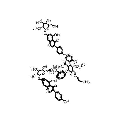 CCOC(=O)C1=C(COCCN)NC(C)=C(C(=O)OC)C1c1ccccc1Cl.O=S(=O)(O)c1ccccc1.O=c1c(-c2ccc(O)cc2)coc2cc(O[C@@H]3O[C@H](CO)[C@@H](O)[C@H](O)[C@H]3O)cc(O)c12.O=c1c(-c2ccc(O)cc2)coc2cc(O[C@@H]3O[C@H](CO)[C@@H](O)[C@H](O)[C@H]3O)cc(O)c12